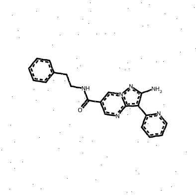 Nc1nn2cc(C(=O)NCCc3ccccc3)cnc2c1-c1ccccn1